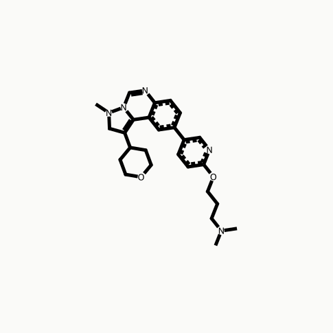 CN(C)CCCOc1ccc(-c2ccc3c(c2)C2=C(C4CCOCC4)CN(C)N2C=N3)cn1